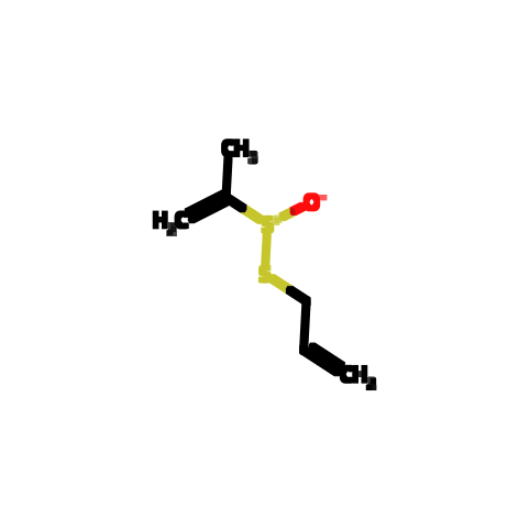 C=CCS[S+]([O-])C(=C)C